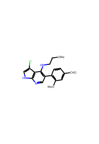 COCCNc1c(-c2ccc(C=O)cc2OC)cnc2[nH]cc(Cl)c12